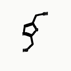 OCc1cnc(CO)o1